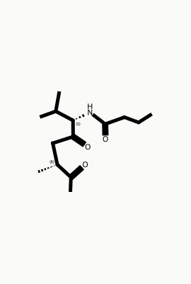 CCCC(=O)N[C@H](C(=O)C[C@@H](C)C(C)=O)C(C)C